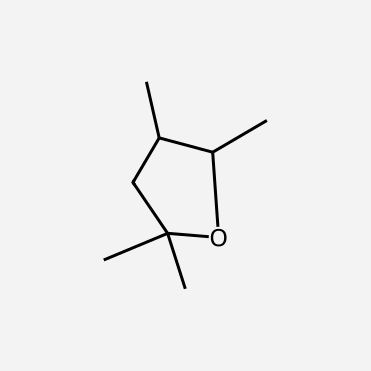 CC1CC(C)(C)OC1C